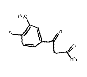 CCCC(=O)CC(=O)c1ccc(F)c(C)c1